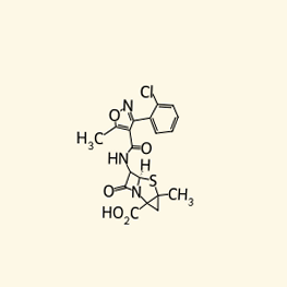 Cc1onc(-c2ccccc2Cl)c1C(=O)NC1C(=O)N2[C@@H]1SC1(C)CC21C(=O)O